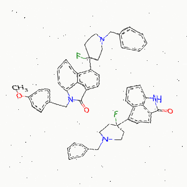 COc1ccc(CN2C(=O)c3ccc(C4(F)CCN(Cc5ccccc5)CC4)c4cccc2c34)cc1.O=C1Nc2cccc3c(C4(F)CCN(Cc5ccccc5)CC4)ccc1c23